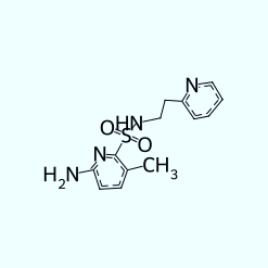 Cc1ccc(N)nc1S(=O)(=O)NCCc1ccccn1